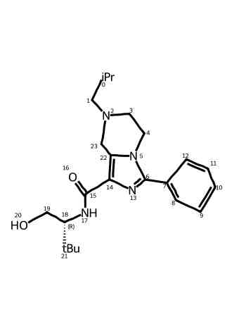 CC(C)CN1CCn2c(-c3ccccc3)nc(C(=O)N[C@@H](CO)C(C)(C)C)c2C1